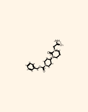 NC(=O)CN1CCCN(C2CCN(C(=O)OCc3ccccc3)CC2)C1=O